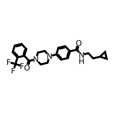 O=C(NCCC1CC1)c1ccc(N2CCN(C(=O)c3ccccc3C(F)(F)F)CC2)cc1